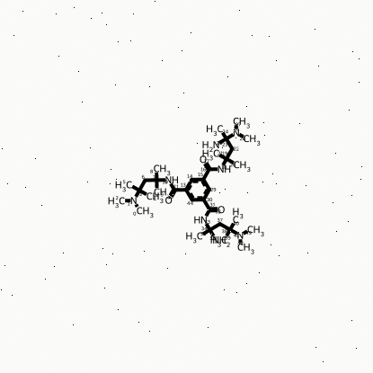 CN(C)C(C)(C)CC(C)(C)NC(=O)c1cc(C(=O)NC(C)(C)CC(C)(N)N(C)C)cc(C(=O)NC(C)(N)CC(C)(C)N(C)C)c1